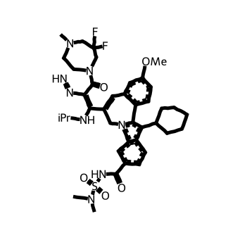 COc1ccc2c(c1)C=C(/C(NC(C)C)=C(/N=N)C(=O)N1CCN(C)CC(F)(F)C1)Cn1c-2c(C2CCCCC2)c2ccc(C(=O)NS(=O)(=O)N(C)C)cc21